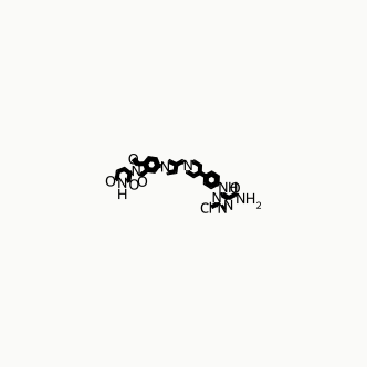 NC(=O)c1nnc(Cl)nc1Nc1ccc(C2CCN(CC3CCN(c4ccc5c(c4)C(=O)N(C4CCC(=O)NC4=O)C5=O)C3)CC2)cc1